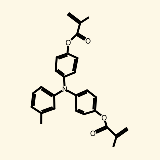 C=C(C)C(=O)Oc1ccc(N(c2ccc(OC(=O)C(=C)C)cc2)c2cccc(C)c2)cc1